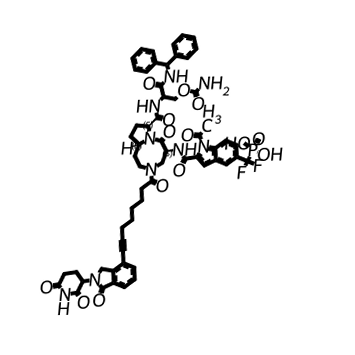 CC(=O)n1c(C(=O)N[C@H]2CN(C(=O)CCCCCC#Cc3cccc4c3CN(C3CCC(=O)NC3=O)C4=O)CC[C@H]3CC[C@@H](C(=O)NC(COC(N)=O)C(=O)NC(c4ccccc4)c4ccccc4)N3C2=O)cc2cc(C(F)(F)P(=O)(O)O)ccc21